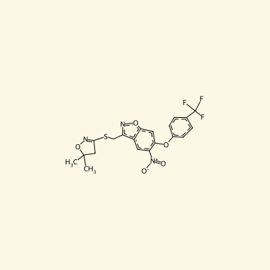 CC1(C)CC(SCc2noc3cc(Oc4ccc(C(F)(F)F)cc4)c([N+](=O)[O-])cc23)=NO1